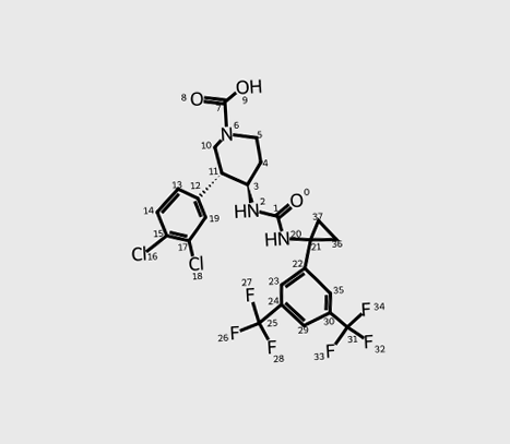 O=C(N[C@@H]1CCN(C(=O)O)C[C@H]1c1ccc(Cl)c(Cl)c1)NC1(c2cc(C(F)(F)F)cc(C(F)(F)F)c2)CC1